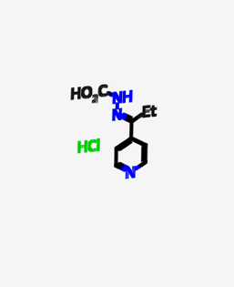 CCC(=NNC(=O)O)c1ccncc1.Cl